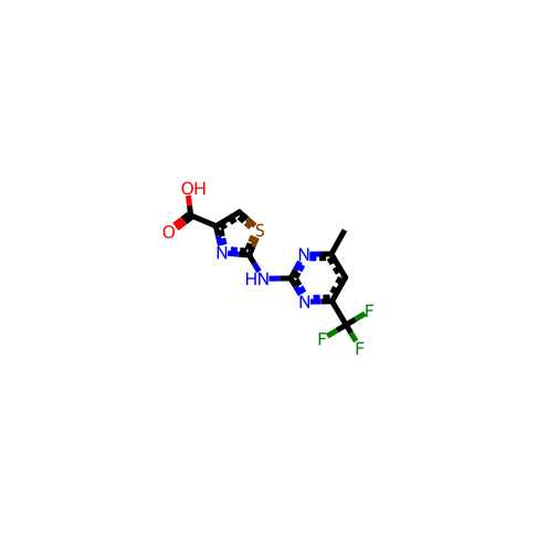 Cc1cc(C(F)(F)F)nc(Nc2nc(C(=O)O)cs2)n1